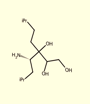 CC(C)CCC(O)(C(O)CO)[C@@H](N)CC(C)C